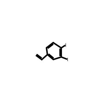 C=Cc1ccc(I)c(I)c1